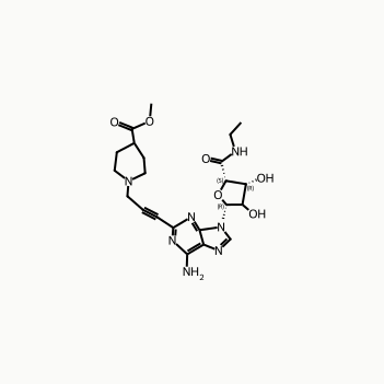 CCNC(=O)[C@H]1O[C@@H](n2cnc3c(N)nc(C#CCN4CCC(C(=O)OC)CC4)nc32)C(O)[C@H]1O